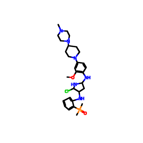 COc1cc(N2CCC(N3CCN(C)CC3)CC2)ccc1NC1CC(Nc2ccccc2P(C)(C)=O)C(Cl)N1